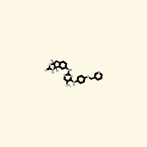 Cc1cnc(Nc2ccc3c(c2)[C@@H]2NC(=O)O[C@@H]2C3)nc1Nc1ccc(OCc2cccnc2)cc1